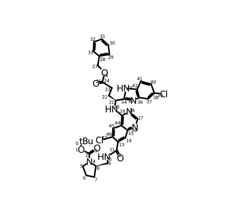 CC(C)(C)OC(=O)N1CCC[C@@H]1CNC(=O)c1cc2ncnc(N[C@@H](CCC(=O)OCc3ccccc3)c3nc4cc(Cl)ccc4[nH]3)c2cc1Cl